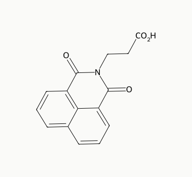 O=C(O)CCN1C(=O)c2cccc3cccc(c23)C1=O